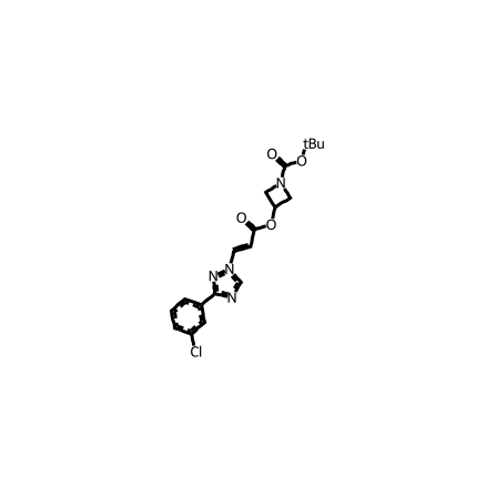 CC(C)(C)OC(=O)N1CC(OC(=O)/C=C/n2cnc(-c3cccc(Cl)c3)n2)C1